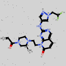 C=CC(=O)N1CCN(CCn2c(=O)ccc3cnc(Nc4cnn(CC(F)F)c4)nc32)[C@@H](C)C1